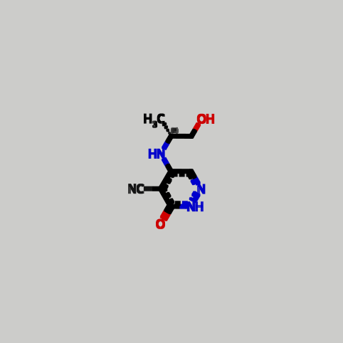 C[C@H](CO)Nc1cn[nH]c(=O)c1C#N